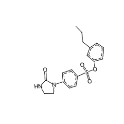 CCCc1cccc(OS(=O)(=O)c2ccc(N3CCNC3=O)cc2)c1